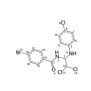 O=C(NC(Nc1ccc(Cl)cc1)C(Cl)Cl)c1ccc(Br)cc1